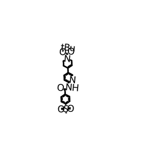 CC(C)(C)OC(=O)N1CC=C(c2ccc(NC(=O)c3ccc(S(C)(=O)=O)cc3)nc2)CC1